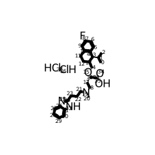 CC(C)[C@@H]1c2ccc(F)cc2CCC1CO[C@@H](CCN(C)CCCc1nc2ccccc2[nH]1)C(=O)O.Cl.Cl